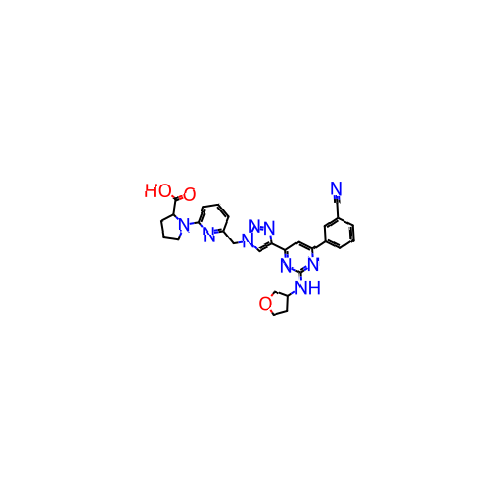 N#Cc1cccc(-c2cc(-c3cn(Cc4cccc(N5CCCC5C(=O)O)n4)nn3)nc(NC3CCOC3)n2)c1